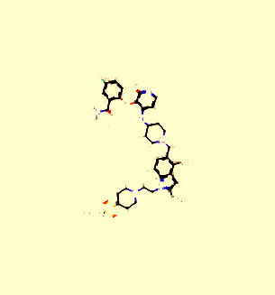 CNS(=O)(=O)C1CCN(CCn2c(C#N)cc3c(C)c(CN4CCC(Nc5cc[nH]c(=O)c5Oc5ccc(F)cc5C(=O)N(C)C)CC4)ccc32)CC1